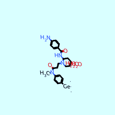 CN(C(=O)CCN1CCCCC1NC(=O)c1ccc(N)cc1)c1cc[c]([Ge])cc1.O.O.O